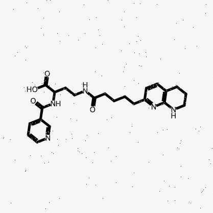 O=C(CCCCc1ccc2c(n1)NCCC2)NCCC(NC(=O)c1cccnc1)C(=O)O